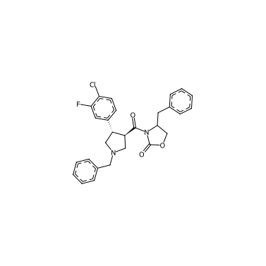 O=C1OCC(Cc2ccccc2)N1C(=O)[C@H]1CN(Cc2ccccc2)C[C@@H]1c1ccc(Cl)c(F)c1